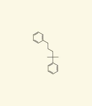 CC(C)(CCCc1ccccc1)c1ccccc1